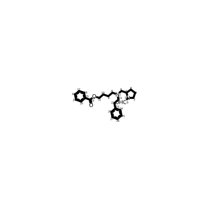 O=CN1CCCC1CN(CCCCOC(=O)c1ccccc1)CCc1ccccc1